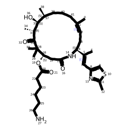 C/C1=C/C[C@@H](/C(C)=C/c2csc(C)n2)NC(=O)C[C@H](OC(=O)CCCCCN)C(C)(C)C(=O)[C@H](C)[C@@H](O)[C@@H](C)CCC1